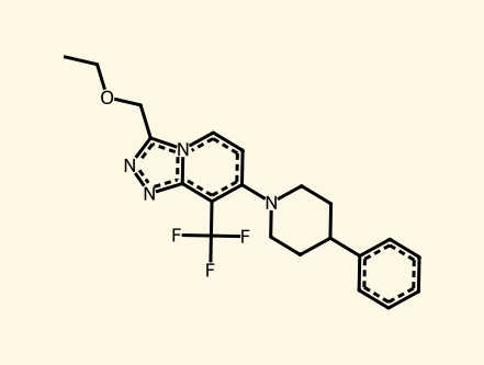 CCOCc1nnc2c(C(F)(F)F)c(N3CCC(c4ccccc4)CC3)ccn12